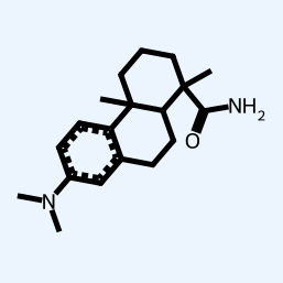 CN(C)c1ccc2c(c1)CCC1C(C)(C(N)=O)CCCC21C